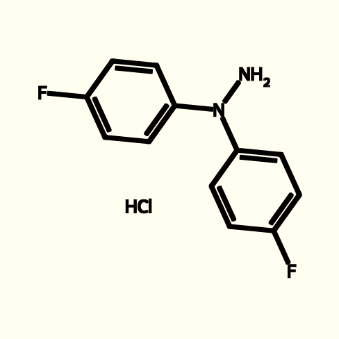 Cl.NN(c1ccc(F)cc1)c1ccc(F)cc1